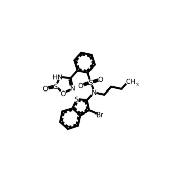 CCCCN(c1sc2ccccc2c1Br)S(=O)(=O)c1ccccc1C1=NOS(=O)N1